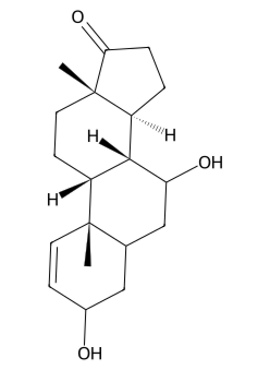 C[C@]12C=CC(O)CC1CC(O)[C@@H]1[C@H]2CC[C@]2(C)C(=O)CC[C@@H]12